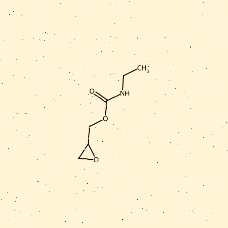 CCNC(=O)OCC1CO1